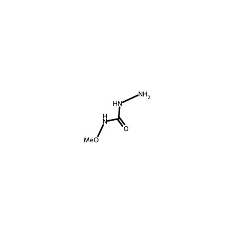 CONC(=O)NN